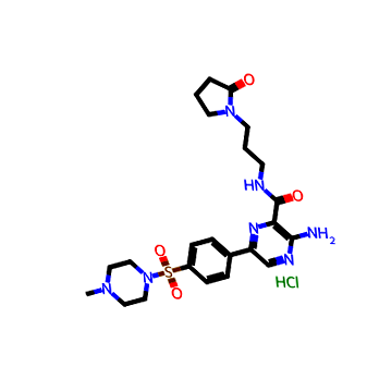 CN1CCN(S(=O)(=O)c2ccc(-c3cnc(N)c(C(=O)NCCCN4CCCC4=O)n3)cc2)CC1.Cl